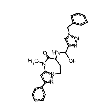 CN1C(=O)C(NC(O)c2cn(Cc3ccccc3)nn2)CCn2nc(-c3ccccc3)cc21